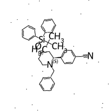 CC(C)(C)[Si](O[C@H]1CCN(Cc2ccccc2)[C@H](c2ccc(C#N)cc2)C1)(c1ccccc1)c1ccccc1